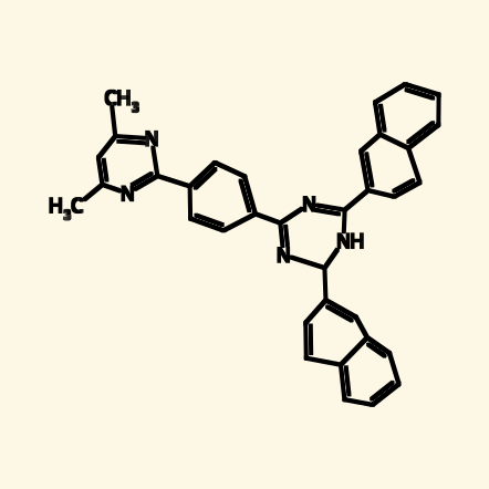 Cc1cc(C)nc(-c2ccc(C3=NC(c4ccc5ccccc5c4)NC(c4ccc5ccccc5c4)=N3)cc2)n1